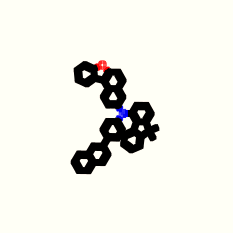 CC1(C)c2ccccc2-c2c(N(c3ccc(-c4ccc5ccccc5c4)cc3)c3ccc4c(ccc5oc6ccccc6c54)c3)cccc21